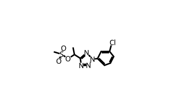 CC(OS(C)(=O)=O)c1nnn(-c2cccc(Cl)c2)n1